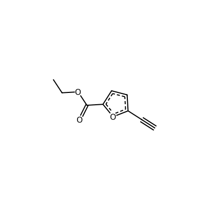 C#Cc1ccc(C(=O)OCC)o1